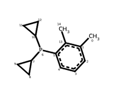 Cc1cccc(P(C2CC2)C2CC2)c1C